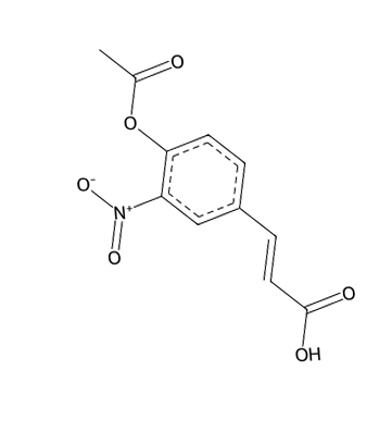 CC(=O)Oc1ccc(/C=C/C(=O)O)cc1[N+](=O)[O-]